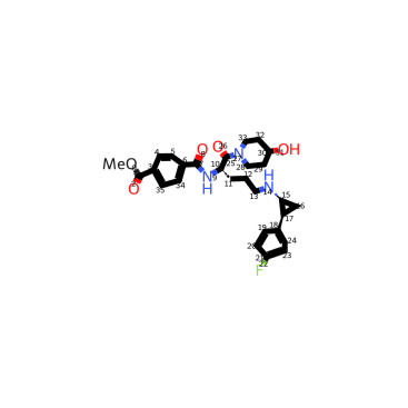 COC(=O)c1ccc(C(=O)N[C@@H](CCCN[C@@H]2C[C@H]2c2ccc(F)cc2)C(=O)N2CCC(O)CC2)cc1